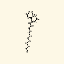 CCCCCCCCCCCCN1CCCN2CCCN=C12